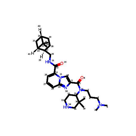 CN(C)CCCN(C(=O)c1cn2c(C(=O)NC[C@@H]3CC[C@H]4C[C@@H]3C4(C)C)cccc2n1)C1CCNCC1(C)C